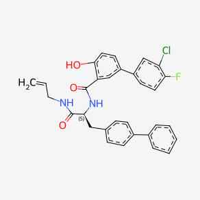 C=CCNC(=O)[C@H](Cc1ccc(-c2ccccc2)cc1)NC(=O)c1cc(-c2ccc(F)c(Cl)c2)ccc1O